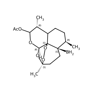 B[C@@]12CC[C@]3(C)OO[C@@]14C(CC[C@H]2C)[C@@H](C)C(OC(C)=O)O[C@@H]4O3